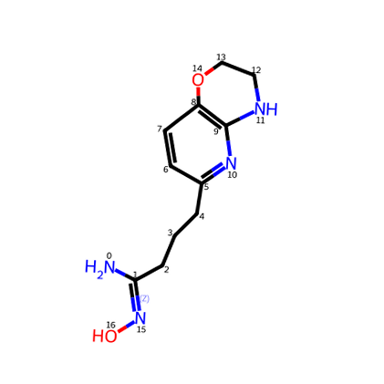 N/C(CCCc1ccc2c(n1)NCCO2)=N\O